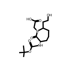 CC(C)(C)OC(=O)N[C@H]1CCCC(CCO)N(CC(=O)O)C1=O